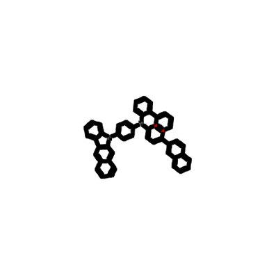 c1ccc2cc3c4ccccc4n(-c4ccc(N(c5ccc(-c6ccc7ccccc7c6)cc5)c5ccccc5-c5ccccc5)cc4)c3cc2c#1